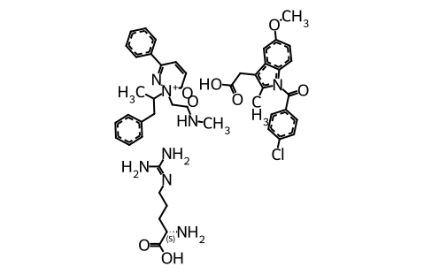 CNC(=O)C[N+]1(C(C)Cc2ccccc2)N=C(c2ccccc2)C=CC1=O.COc1ccc2c(c1)c(CC(=O)O)c(C)n2C(=O)c1ccc(Cl)cc1.NC(N)=NCCC[C@H](N)C(=O)O